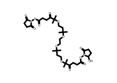 CC(C)(CCOC(C)(C)C(=O)CCC(=O)ON1C(=O)CCC1=O)OCCOC(C)(C)CCOC(C)(C)C(=O)CCC(=O)ON1C(=O)CCC1O